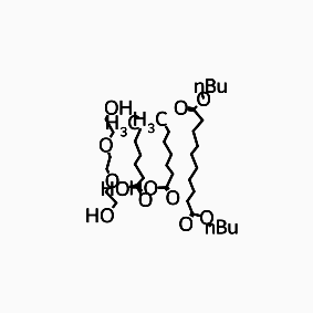 CCCCCCC(=O)O.CCCCCCC(=O)O.CCCCOC(=O)CCCCCCCCC(=O)OCCCC.OCCOCCOCCO